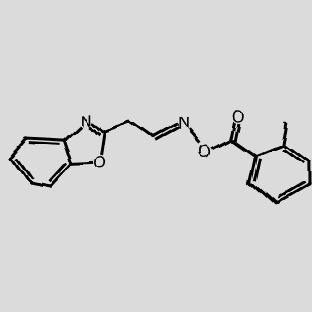 Cc1ccccc1C(=O)ON=CCc1nc2ccccc2o1